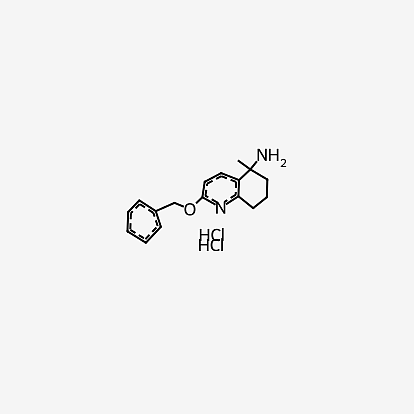 CC1(N)CCCc2nc(OCc3ccccc3)ccc21.Cl.Cl